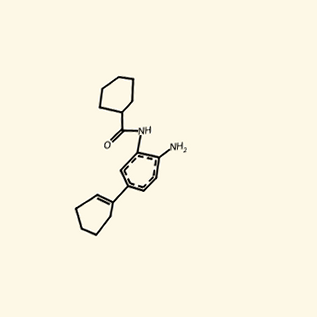 Nc1ccc(C2=CCCCC2)cc1NC(=O)C1CCCCC1